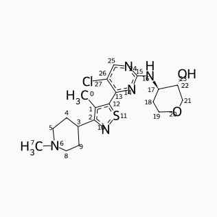 Cc1c(C2CCN(C)CC2)nsc1-c1nc(N[C@@H]2CCOC[C@H]2O)ncc1Cl